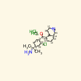 CC(C)(N)c1ccc(C(=O)c2cccc3cnccc23)c(Cl)c1.Cl.Cl